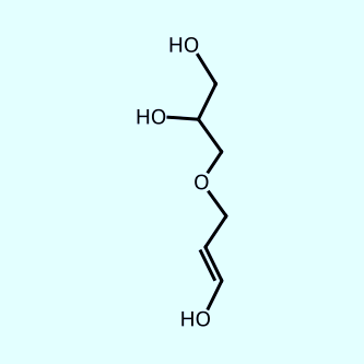 OC=CCOCC(O)CO